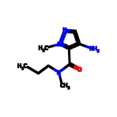 CCCN(C)C(=O)c1c(N)cnn1C